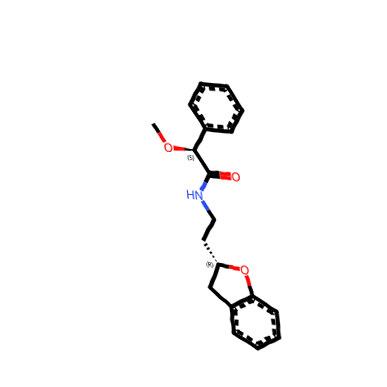 CO[C@H](C(=O)NCC[C@H]1Cc2ccccc2O1)c1ccccc1